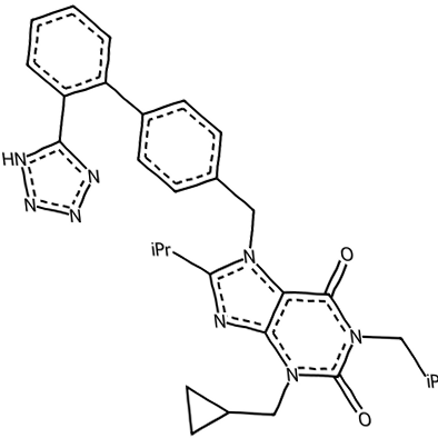 CC(C)Cn1c(=O)c2c(nc(C(C)C)n2Cc2ccc(-c3ccccc3-c3nnn[nH]3)cc2)n(CC2CC2)c1=O